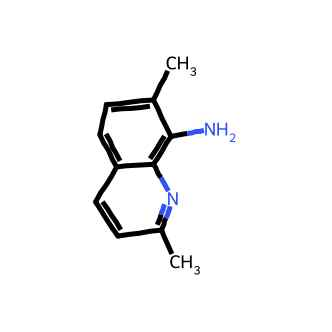 Cc1ccc2ccc(C)c(N)c2n1